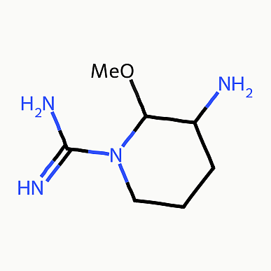 COC1C(N)CCCN1C(=N)N